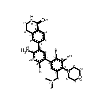 CN(C)Cc1cc(-c2cc(-c3ccc4c(c3)CCNC4=O)c(N)nc2F)c(F)c(F)c1N1CCOCC1